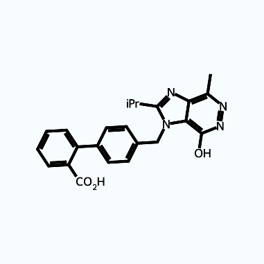 Cc1nnc(O)c2c1nc(C(C)C)n2Cc1ccc(-c2ccccc2C(=O)O)cc1